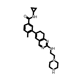 Cc1ccc(C(=O)NC2CC2)cc1C1=Cc2cnc(NCCN3CCNCC3)nc2CC1